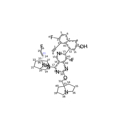 C#Cc1c(F)ccc2cc(O)cc(-c3ncc4c(N5CC6CC[C@@](/C=C/F)(C5)N6)nc(OCC56CCCN5CCC6)nc4c3F)c12